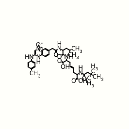 Cc1ccc(N/C(=C/[N+](=O)[O-])Nc2ccc(CC(=O)NC(CC(C)C)C(=O)NC(C/C=C/CC(NC(=O)CC(C)(C)C)C(=O)O)C(=O)O)cc2)cc1